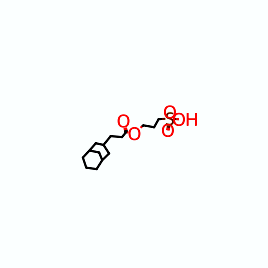 O=C(CCC1CC2CCCC(C2)C1)OCCCS(=O)(=O)O